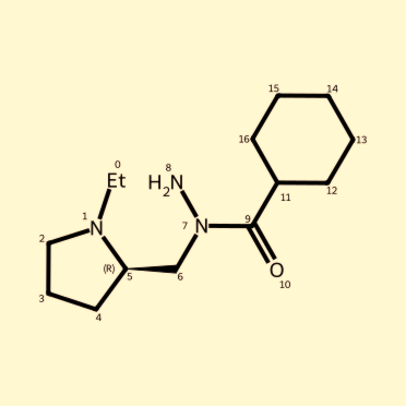 CCN1CCC[C@@H]1CN(N)C(=O)C1CCCCC1